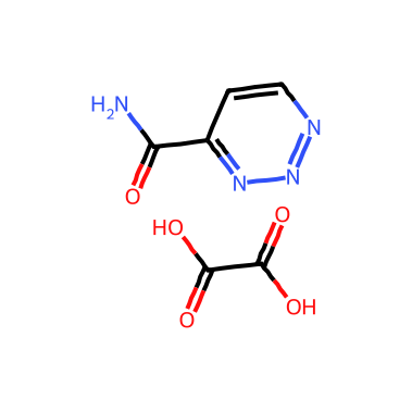 NC(=O)c1ccnnn1.O=C(O)C(=O)O